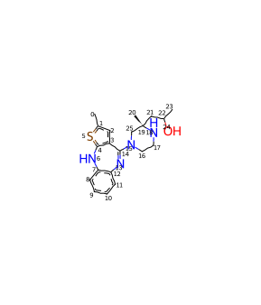 Cc1cc2c(s1)Nc1ccccc1N=C2N1CCN[C@@](C)(CC(C)O)C1